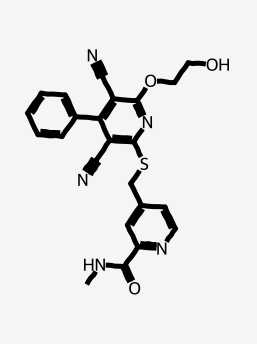 CNC(=O)c1cc(CSc2nc(OCCO)c(C#N)c(-c3ccccc3)c2C#N)ccn1